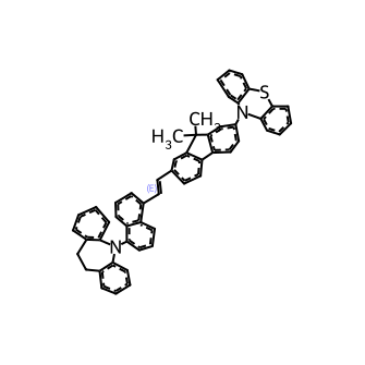 CC1(C)c2cc(/C=C/c3cccc4c(N5c6ccccc6CCc6ccccc65)cccc34)ccc2-c2ccc(N3c4ccccc4Sc4ccccc43)cc21